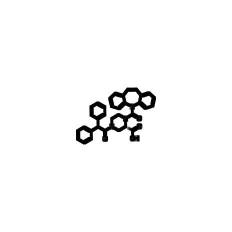 O=C(O)[C@@H]1CN(C(=O)C(c2ccccc2)c2ccccc2)CCN1C(=O)N1c2ccccc2C=Cc2ccccc21